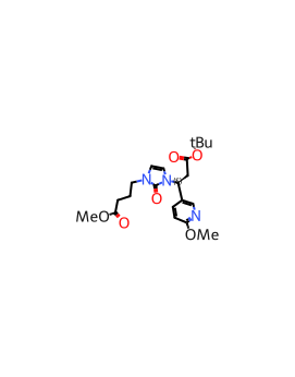 COC(=O)CCCn1ccn([C@@H](CC(=O)OC(C)(C)C)c2ccc(OC)nc2)c1=O